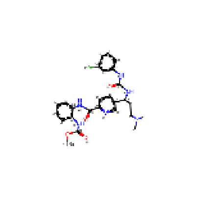 CN(C)CCC(NC(=O)Nc1cccc(F)c1)c1ccc(C(=O)Nc2ccccc2NC(=O)OC(C)(C)C)nc1